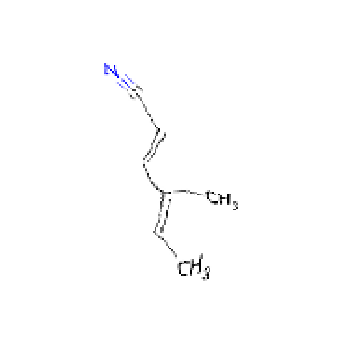 C/C=C(C)/C=C/C#N